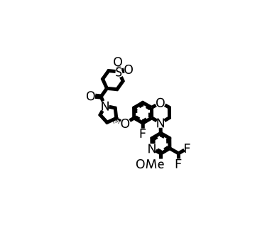 COc1ncc(N2CCOc3ccc(O[C@H]4CCN(C(=O)C5CCS(=O)(=O)CC5)C4)c(F)c32)cc1C(F)F